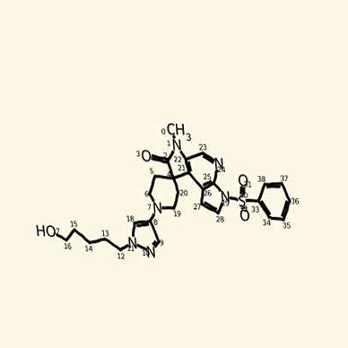 CN1C(=O)C2(CCN(c3cnn(CCCCCO)c3)CC2)c2c1cnc1c2ccn1S(=O)(=O)c1ccccc1